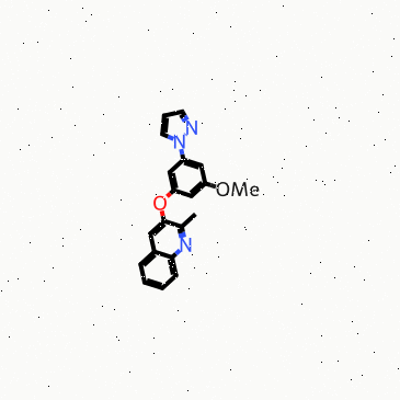 COc1cc(Oc2cc3ccccc3nc2C)cc(-n2cccn2)c1